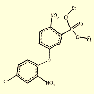 CCOP(=O)(OCC)c1cc(Oc2ccc(Cl)cc2[N+](=O)[O-])ccc1[N+](=O)[O-]